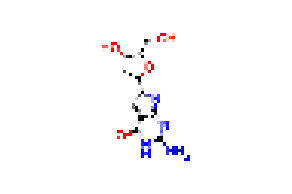 Nc1nc2c(c(=O)[nH]1)=CC(C1CC(O)C(CO)O1)N=2